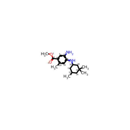 COC(=O)c1cc(N)c(NC2CC(C)CC(C)(C)C2)cc1C